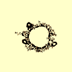 CC[C@H](C)[C@H]1C(=O)N[C@@H]([C@@H](C)O)C(=O)N(C)CC(=O)N(C)[C@@H](CC(C)C)C(=O)N[C@H](C(=O)N2CCCCC2)CC(=O)N(C)[C@@H](C(C)C)C(=O)N[C@@H](CC(C)C)C(=O)N(C)[C@@H](CC(C)C)C(=O)N(C)[C@@H](Cc2ccccc2)C(=O)N[C@@H](COC[C@H](C)O)C(=O)N(C)[C@@H](Cc2ccccc2)C(=O)N1C